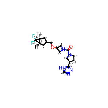 O=C(N1CC(OCC2C[C@@H]3[C@H](C2)C3(F)F)C1)N1CCC(c2nnc[nH]2)C1